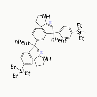 CCCCCC(/C=C1\CCCN1)(c1ccc([Si](C)(CC)CC)cc1)c1cccc(C(/C=C2\CCCN2)(CCCCC)c2ccc([Si](CC)(CC)CC)cc2)c1